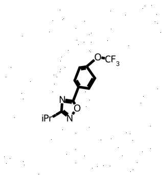 CC(C)c1noc(-c2ccc(OC(F)(F)F)cc2)n1